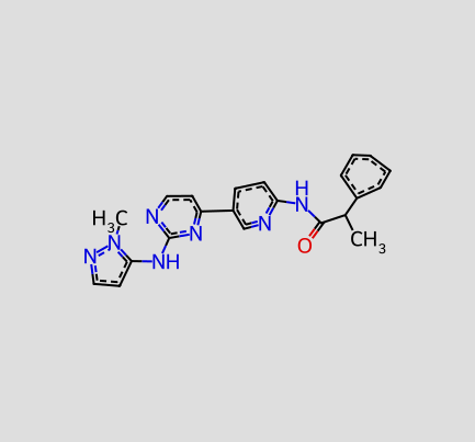 CC(C(=O)Nc1ccc(-c2ccnc(Nc3ccnn3C)n2)cn1)c1ccccc1